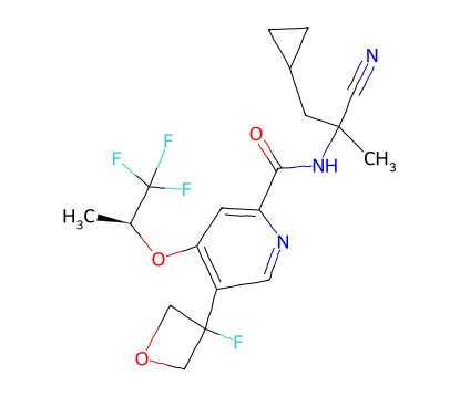 C[C@H](Oc1cc(C(=O)NC(C)(C#N)CC2CC2)ncc1C1(F)COC1)C(F)(F)F